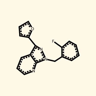 Fc1ccccc1Cn1nc(-c2ccco2)c2cccnc21